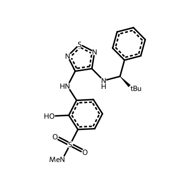 CNS(=O)(=O)c1cccc(Nc2nsnc2N[C@@H](c2ccccc2)C(C)(C)C)c1O